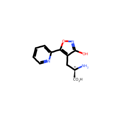 N[C@H](Cc1c(O)noc1-c1ccccn1)C(=O)O